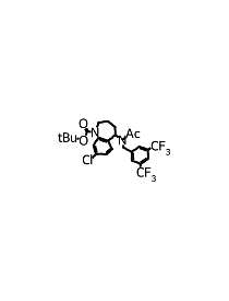 CC(=O)N(Cc1cc(C(F)(F)F)cc(C(F)(F)F)c1)C1CCCN(C(=O)OC(C)(C)C)c2cc(Cl)ccc21